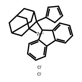 [Cl-].[Cl-].[Zr+2][C]12CC3CC(CC(C3)C1(C1=CC=CC1)C1c3ccccc3-c3ccccc31)C2